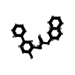 Cc1cnc(-c2ccccn2)nc1NC(=O)Cc1ccc2ccccc2c1